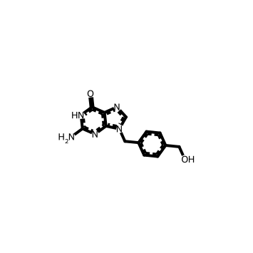 Nc1nc2c(ncn2Cc2ccc(CO)cc2)c(=O)[nH]1